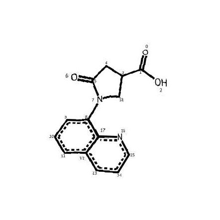 O=C(O)C1CC(=O)N(c2cccc3cccnc23)C1